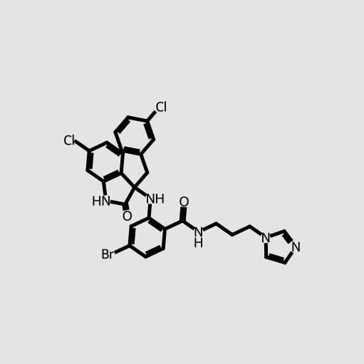 O=C(NCCCn1ccnc1)c1ccc(Br)cc1NC1(Cc2cccc(Cl)c2)C(=O)Nc2cc(Cl)ccc21